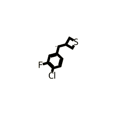 Fc1cc([CH]C2CSC2)ccc1Cl